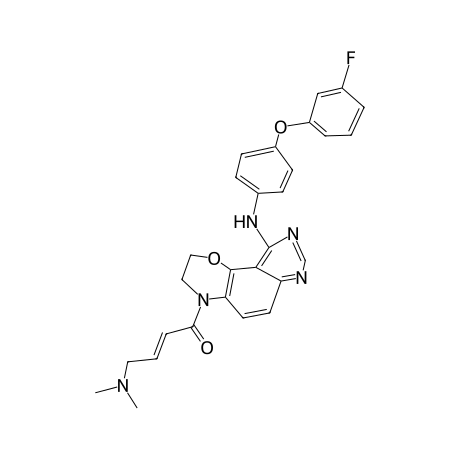 CN(C)C/C=C/C(=O)N1CCOc2c1ccc1ncnc(Nc3ccc(Oc4cccc(F)c4)cc3)c21